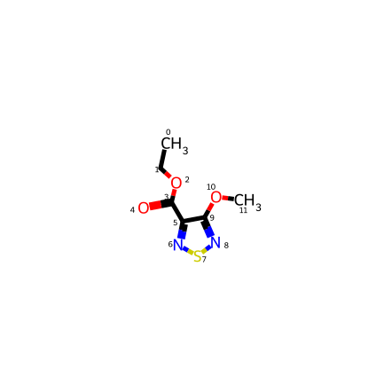 CCOC(=O)c1nsnc1OC